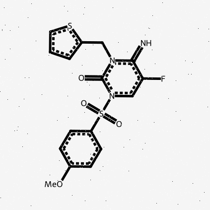 COc1ccc(S(=O)(=O)n2cc(F)c(=N)n(Cc3cccs3)c2=O)cc1